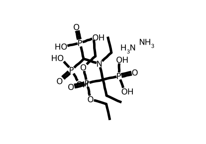 CCOP(=O)(OCC)C(CC)(N(CC)C(P(=O)(O)O)P(=O)(O)O)P(=O)(O)O.N.N